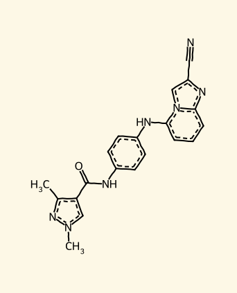 Cc1nn(C)cc1C(=O)Nc1ccc(Nc2cccc3nc(C#N)cn23)cc1